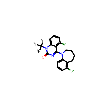 [2H]C([2H])([2H])n1c(=O)nc(N2CCCCc3c(Br)cccc32)c2c(F)cccc21